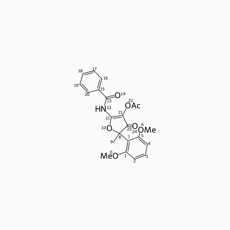 COc1cccc(OC)c1C1(C)OC(NC(=O)c2ccccc2)=C(OC(C)=O)C1=O